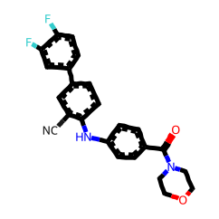 N#Cc1cc(-c2ccc(F)c(F)c2)ccc1Nc1ccc(C(=O)N2CCOCC2)cc1